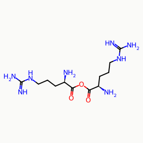 N=C(N)NCCC[C@@H](N)C(=O)OC(=O)[C@H](N)CCCNC(=N)N